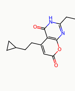 CCc1nc2oc(=O)cc(CCC3CC3)c2c(=O)[nH]1